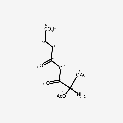 CC(=O)OC(N)(OC(C)=O)C(=O)OC(=O)CCC(=O)O